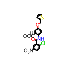 O=C(Nc1ccc(OCc2cccs2)cc1C(=O)[O-])c1cc([N+](=O)[O-])ccc1Cl.[Li+]